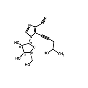 CC(O)CC#Cc1c(C#N)ncn1[C@@H]1O[C@H](CO)[C@@H](O)[C@H]1O